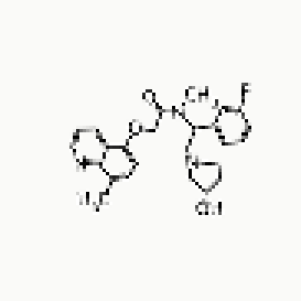 Cc1ccc(OCC(=O)N(C)C(CN2CC[C@H](O)C2)c2cccc(F)c2)c2cccnc12